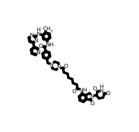 Cc1ccc(NC(=O)c2ccc(CN3CCN(C(=O)CCCCCCC(=O)Nc4cccc5c4CN(C4CCC(=O)NC4=O)C5=O)CC3)cc2)cc1Nc1nccc(-c2cccnc2)n1